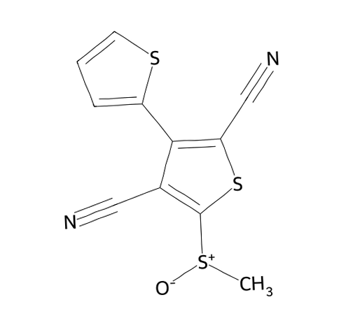 C[S+]([O-])c1sc(C#N)c(-c2cccs2)c1C#N